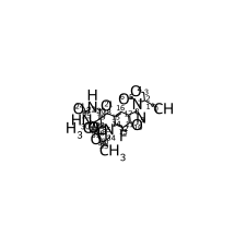 C#CC1COC(=O)N1c1noc2c(F)c3c(cc12)CC1(C(=O)NC(=O)NC1=O)[C@H]1[C@H](C)O[C@H](C)CN31